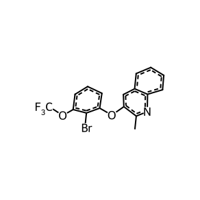 Cc1nc2ccccc2cc1Oc1cccc(OC(F)(F)F)c1Br